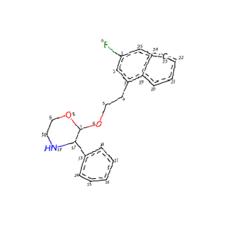 Fc1cc(CCOC2OCCNC2c2ccccc2)c2ccccc2c1